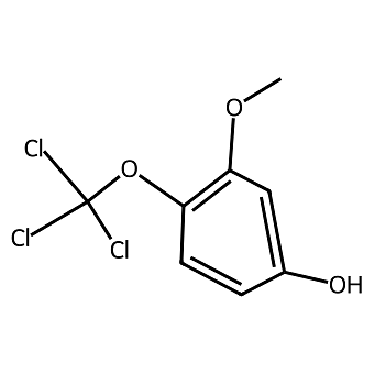 COc1cc(O)ccc1OC(Cl)(Cl)Cl